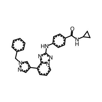 O=C(NC1CC1)c1ccc(Nc2nc3c(-c4cnn(Cc5ccccc5)c4)cccn3n2)cc1